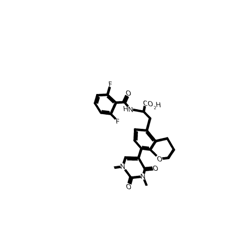 Cn1cc(-c2ccc(CC(NC(=O)c3c(F)cccc3F)C(=O)O)c3c2OCCC3)c(=O)n(C)c1=O